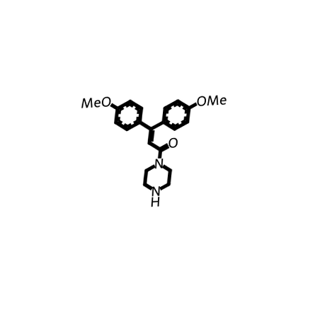 COc1ccc(C(=CC(=O)N2CCNCC2)c2ccc(OC)cc2)cc1